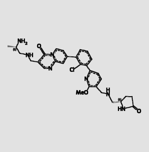 COc1nc(-c2cccc(-c3ccn4c(=O)c(CNC[C@H](C)N)cnc4c3)c2Cl)ccc1CNC[C@@H]1CCC(=O)N1